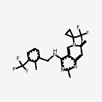 C=C1C=c2nc(C)nc(NCc3cccc(C(F)(F)F)c3C)c2=CN1C1(C(F)(F)F)CC1